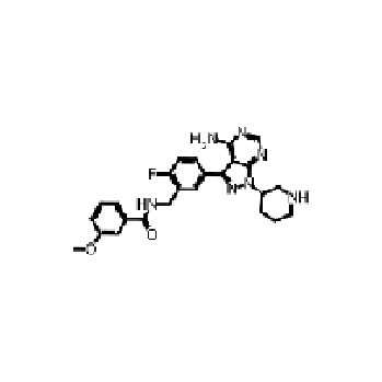 COc1cccc(C(=O)NCc2cc(-c3nn([C@@H]4CCCNC4)c4ncnc(N)c34)ccc2F)c1